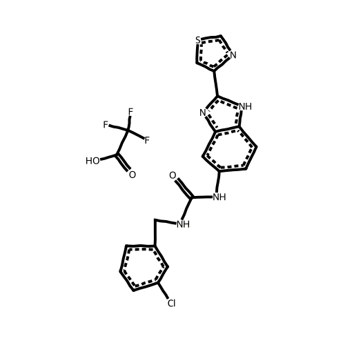 O=C(NCc1cccc(Cl)c1)Nc1ccc2[nH]c(-c3cscn3)nc2c1.O=C(O)C(F)(F)F